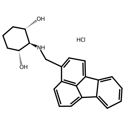 Cl.O[C@@H]1CCC[C@H](O)[C@H]1NCc1ccc2c3c(cccc13)-c1ccccc1-2